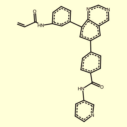 C=CC(=O)Nc1cccc(-c2cc(-c3ccc(C(=O)Nc4cccnc4)cc3)cc3cncnc23)c1